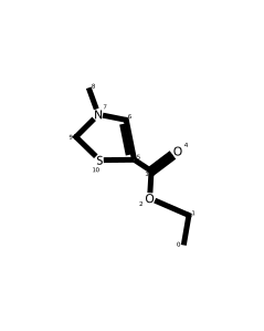 CCOC(=O)C1=CN(C)CS1